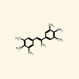 C/C(=C\c1cc(C)c(N)c(C)c1)c1cc(C)c(N)c(C)c1